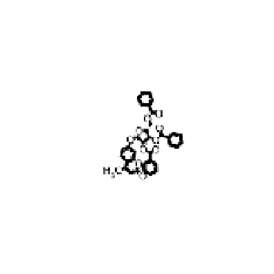 Cc1cc(=O)oc2cc(O[C@H]3O[C@H](COC(=O)c4ccccc4)[C@@H](OC(=O)c4ccccc4)[C@@H]3OC(=O)c3ccccc3)ccc12